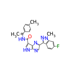 Cc1ccc([C@@H](C)NC(=O)c2c[nH]c3ncc(-c4nn(C)c5cc(F)ccc45)nc23)cc1